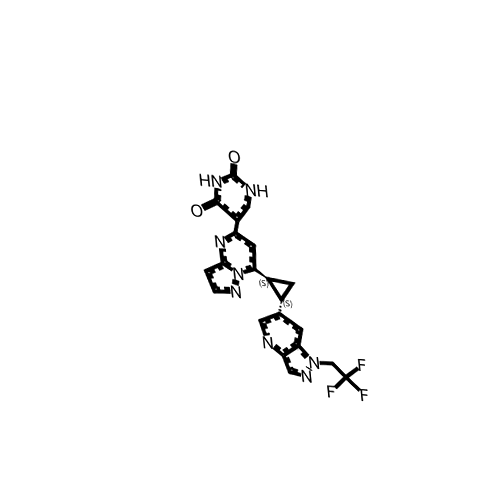 O=c1[nH]cc(-c2cc([C@H]3C[C@@H]3c3cnc4cnn(CC(F)(F)F)c4c3)n3nccc3n2)c(=O)[nH]1